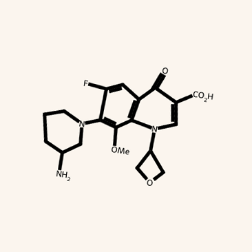 COc1c(N2CCCC(N)C2)c(F)cc2c(=O)c(C(=O)O)cn(C3COC3)c12